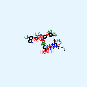 CCOc1cc(Oc2ccc(C(F)(F)F)cc2Cl)ccc1[N+](=O)[O-].COc1cc(OC)nc(NC(=O)NS(=O)(=O)c2nc(C(F)(F)F)ccc2C(=O)O)n1.O=C(O)COc1ccc(Cl)c2cccnc12